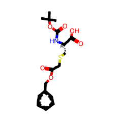 CC(C)(C)OC(=O)N[C@@H](CSCC(=O)OCc1ccccc1)C(=O)O